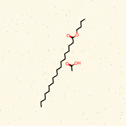 CC(=O)O.CCCCCCCCCCCCCCCCCC(=O)OCCCC